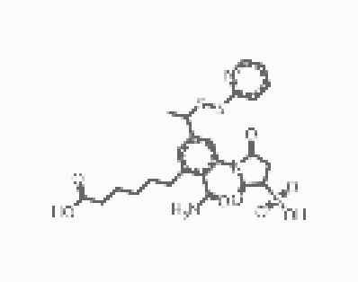 CC(SSc1ccccn1)c1cc(CCCCCC(=O)O)c(C(N)=O)c(N2C(=O)CC(S(=O)(=O)O)C2=O)c1